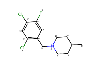 CC1CCN(Cc2cc(F)c(Cl)cc2Cl)CC1